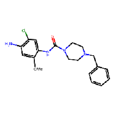 COc1cc(N)c(Cl)cc1NC(=O)N1CCN(Cc2ccccc2)CC1